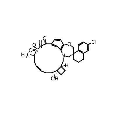 C[C@@H]1C/C=C\C[C@@H](O)[C@@H]2CC[C@H]2CN2C[C@@]3(CCCc4cc(Cl)ccc43)COc3ccc(cc32)C(=O)NS1(=O)=O